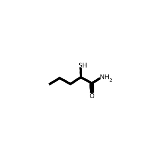 CCCC(S)C(N)=O